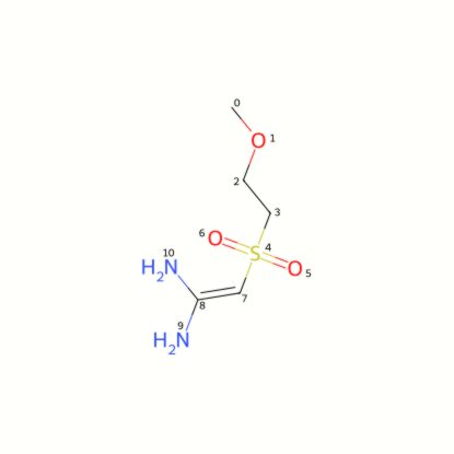 COCCS(=O)(=O)C=C(N)N